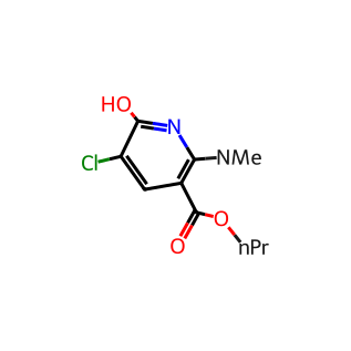 CCCOC(=O)c1cc(Cl)c(O)nc1NC